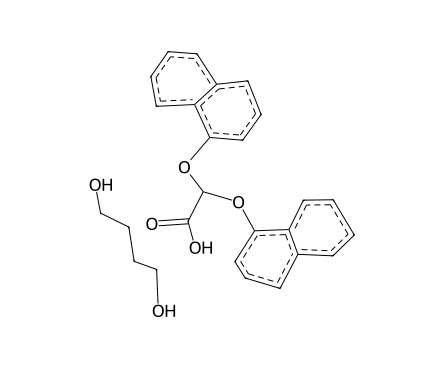 O=C(O)C(Oc1cccc2ccccc12)Oc1cccc2ccccc12.OCCCCO